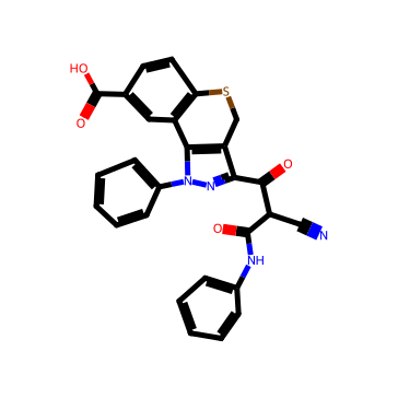 N#CC(C(=O)Nc1ccccc1)C(=O)c1nn(-c2ccccc2)c2c1CSc1ccc(C(=O)O)cc1-2